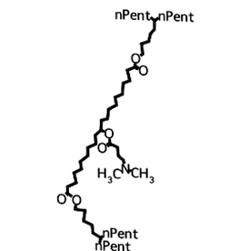 CCCCCC(CCCCC)CCCCCOC(=O)CCCCCCCCCC(CCCCCCCCCC(=O)OCCCCCC(CCCCC)CCCCC)OC(=O)CCCN(C)C